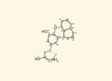 Cl.NC[C@H](CC(=O)O)c1ccc(Cl)c(-c2cncc3ccccc23)c1